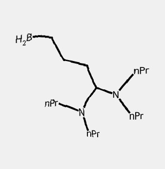 BCCCC(N(CCC)CCC)N(CCC)CCC